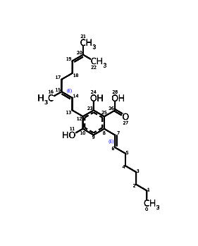 CCCCCC/C=C/c1cc(O)c(C/C=C(\C)CCC=C(C)C)c(O)c1C(=O)O